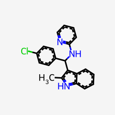 Cc1[nH]c2ccccc2c1C(Nc1ccccn1)c1ccc(Cl)cc1